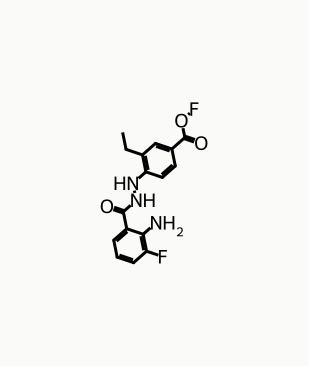 CCc1cc(C(=O)OF)ccc1NNC(=O)c1cccc(F)c1N